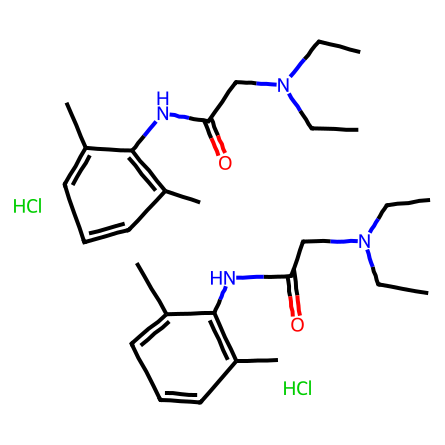 CCN(CC)CC(=O)Nc1c(C)cccc1C.CCN(CC)CC(=O)Nc1c(C)cccc1C.Cl.Cl